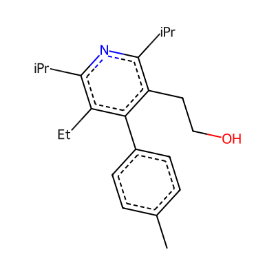 CCc1c(C(C)C)nc(C(C)C)c(CCO)c1-c1ccc(C)cc1